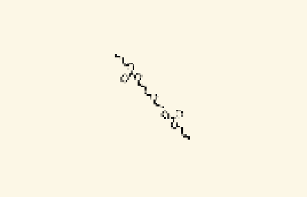 C=CCOC(=O)OCCCOCCOC(=O)OCC=C